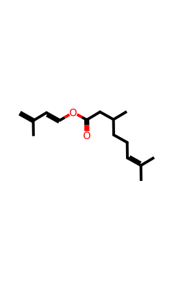 C=C(C)C=COC(=O)CC(C)CCC=C(C)C